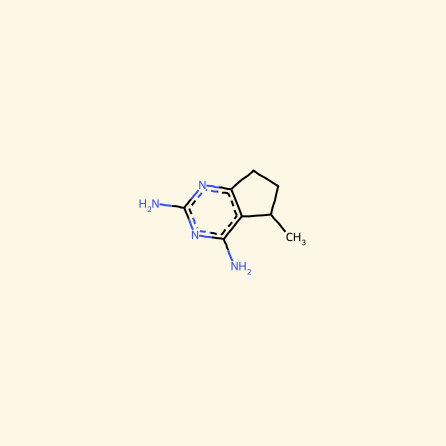 CC1CCc2nc(N)nc(N)c21